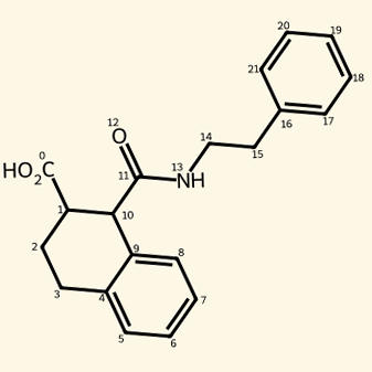 O=C(O)C1CCc2ccccc2C1C(=O)NCCc1ccccc1